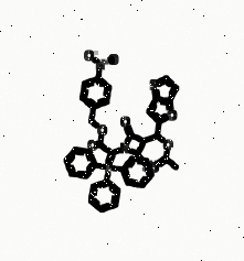 CC(=O)OC(c1cc2sccc2o1)C1C(=O)N(C(C(=O)OCc2ccc([N+](=O)[O-])cc2)=P(c2ccccc2)(c2ccccc2)c2ccccc2)C1S